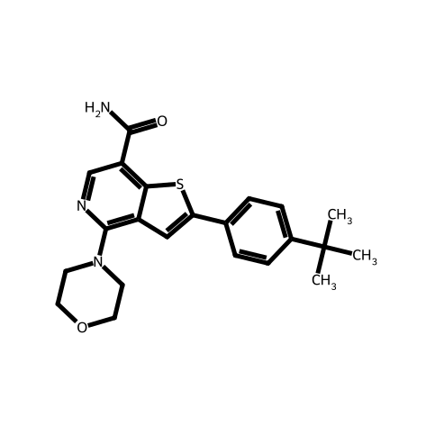 CC(C)(C)c1ccc(-c2cc3c(N4CCOCC4)ncc(C(N)=O)c3s2)cc1